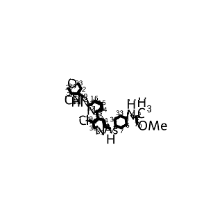 COC[C@@H](C)N[C@H]1CC[C@@H]([AsH]c2cc(-c3cccc(NCC4(C#N)CCOCC4)n3)c(Cl)cn2)CC1